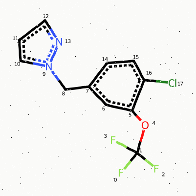 FC(F)(F)Oc1cc(Cn2c[c]cn2)ccc1Cl